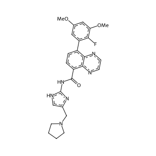 COc1cc(OC)c(F)c(-c2ccc(C(=O)Nc3nc(CN4CCCC4)c[nH]3)c3nccnc23)c1